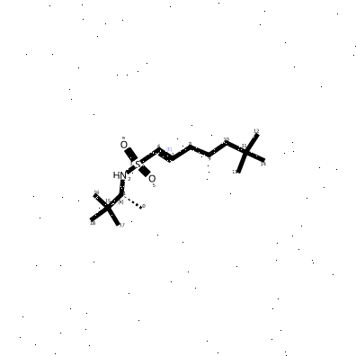 C[C@@H](NS(=O)(=O)/C=C/CCCC(C)(C)C)C(C)(C)C